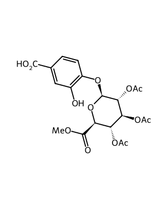 COC(=O)[C@H]1O[C@@H](Oc2ccc(C(=O)O)cc2O)[C@H](OC(C)=O)[C@@H](OC(C)=O)[C@@H]1OC(C)=O